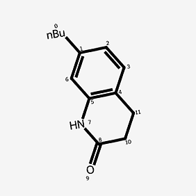 CCCCc1ccc2c(c1)NC(=O)CC2